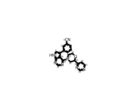 N#Cc1cccc(-c2c[nH]c3ncnc(N4CCOC(c5ccncn5)C4)c23)c1